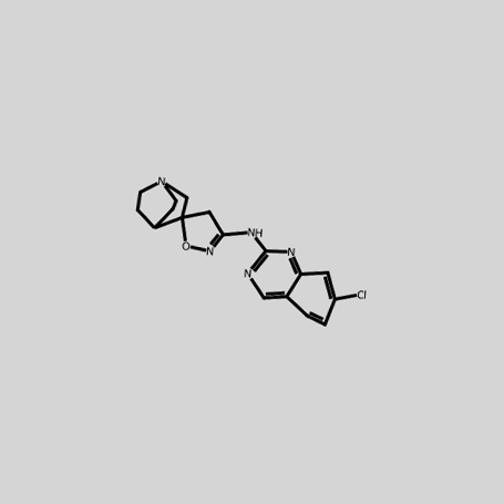 Clc1ccc2cnc(NC3=NOC4(C3)CN3CCC4CC3)nc2c1